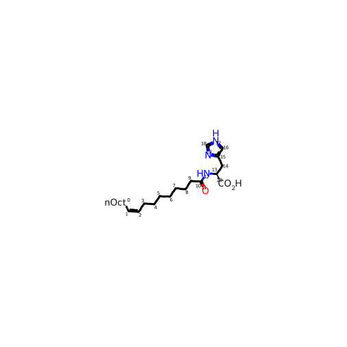 CCCCCCCC/C=C\CCCCCCCC(=O)N[C@@H](Cc1c[nH]cn1)C(=O)O